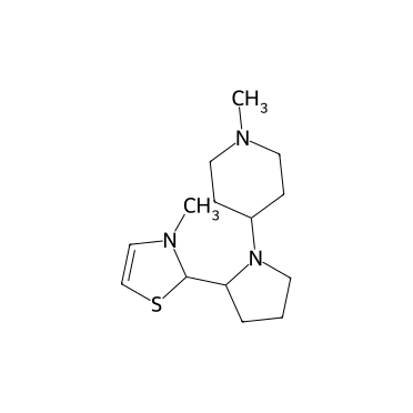 CN1CCC(N2CCCC2C2SC=CN2C)CC1